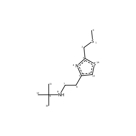 CSCc1nc(CCNC(C)(C)C)cs1